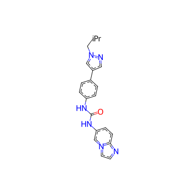 CC(C)Cn1cc(-c2ccc(NC(=O)Nc3ccc4nccn4c3)cc2)cn1